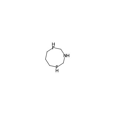 C1CPCNCPC1